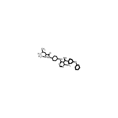 CNC(CC(C)C)C(=O)NC1CCC(NC2=NC=NC(N)C2C(=N)c2ccc(Oc3ccccc3)cc2)CC1